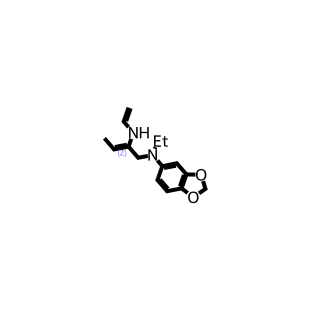 C=CN/C(=C\C)CN(CC)c1ccc2c(c1)OCO2